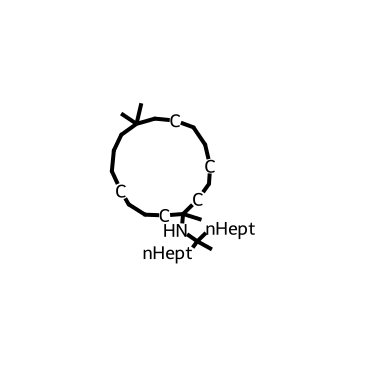 CCCCCCCC(C)(CCCCCCC)NC1(C)CCCCCCCC(C)(C)CCCCCCC1